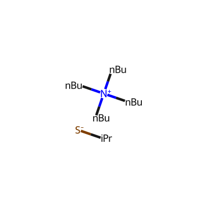 CC(C)[S-].CCCC[N+](CCCC)(CCCC)CCCC